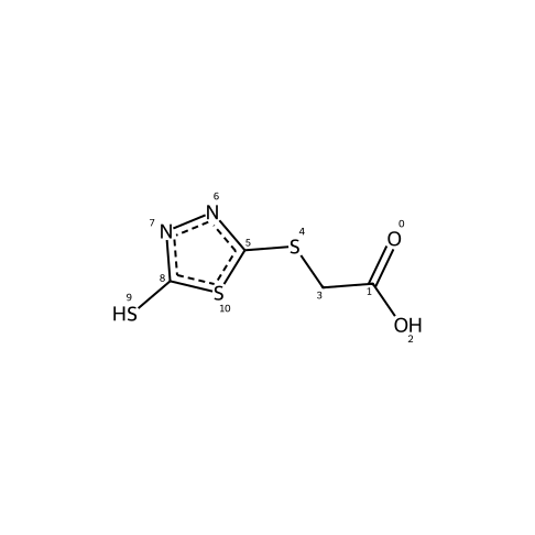 O=C(O)CSc1nnc(S)s1